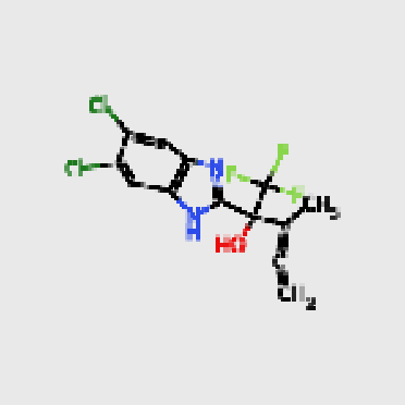 C=C=C(C)C(O)(c1nc2cc(Cl)c(Cl)cc2[nH]1)C(F)(F)F